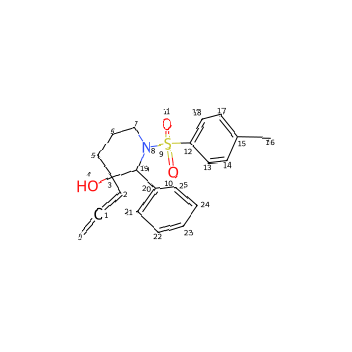 C=C=CC1(O)CCCN(S(=O)(=O)c2ccc(C)cc2)C1c1ccccc1